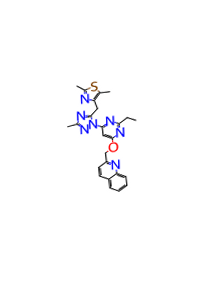 CCc1nc(OCc2ccc3ccccc3n2)cc(-n2nc(C)nc2Cc2nc(C)sc2C)n1